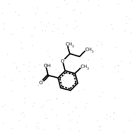 CCC(C)Oc1c(C)cccc1C(=O)O